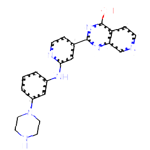 Oc1nc(-c2ccnc(Nc3cccc(N4CCNCC4)c3)c2)nc2cnccc12